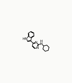 c1ccc2c(-c3ccnc(NC4CCCCC4)n3)c[nH]c2c1